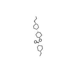 CCC[C@H]1CC[C@H](C2CCC(OC(=O)[C@H]3CC[C@H](CC)CC3)CC2)CC1